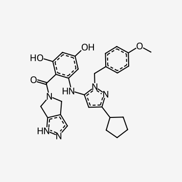 COc1ccc(Cn2nc(C3CCCC3)cc2Nc2cc(O)cc(O)c2C(=O)N2Cc3cn[nH]c3C2)cc1